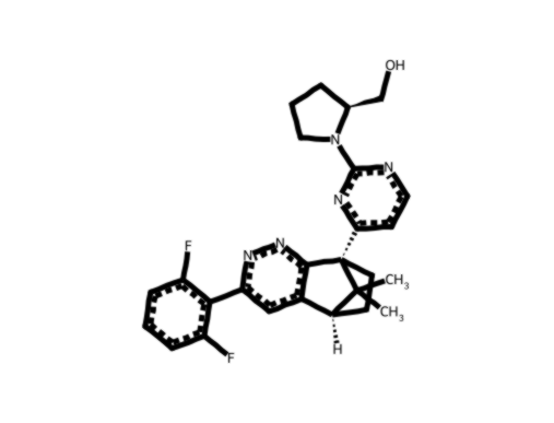 CC1(C)[C@H]2CC[C@]1(c1ccnc(N3CCC[C@H]3CO)n1)c1nnc(-c3c(F)cccc3F)cc12